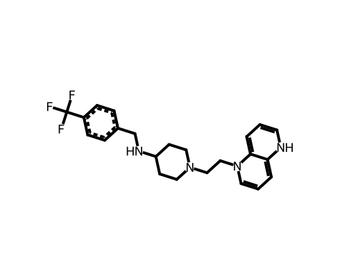 FC(F)(F)c1ccc(CNC2CCN(CCN3C=CC=C4NC=CC=C43)CC2)cc1